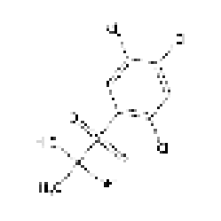 CCCC(C)(C)S(=O)(=O)c1cc(Cl)c(Cl)cc1Cl